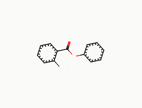 O=C(O)c1ccccc1C(=O)Oc1ccccc1